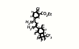 CCOC(=O)c1cc(N(N)/C=C(\N)c2c(C)cc3c(c2C)C(F)(F)C3(F)C(F)(F)F)ccc1Cl